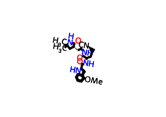 COc1cccc2[nH]c(C(=O)NC(CC3CC3)C(=O)NC(C#N)C[C@@H]3CC(C)(C)NC3=O)cc12